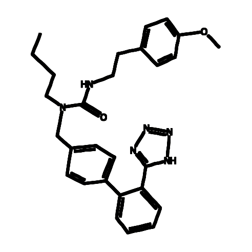 CCCCN(Cc1ccc(-c2ccccc2-c2nnn[nH]2)cc1)C(=O)NCCc1ccc(OC)cc1